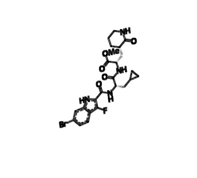 COC(=O)[C@H](C[C@@H]1CCCNC1=O)NC(=O)[C@H](CC1CC1)NC(=O)c1[nH]c2cc(Br)ccc2c1F